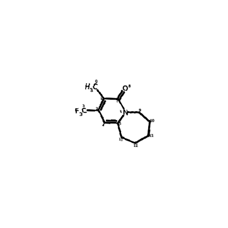 Cc1c(C(F)(F)F)cc2n(c1=O)CCCCC2